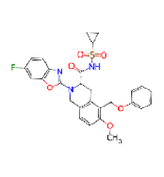 COc1ccc2c(c1COc1ccccc1)C[C@@H](C(=O)NS(=O)(=O)C1CC1)N(c1nc3ccc(F)cc3o1)C2